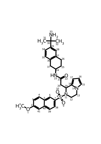 COc1ccc2cc(S(=O)(=O)N3CCn4cccc4C3CC(=O)NC3CCc4cc(C(C)(C)N)ccc4C3)ccc2c1